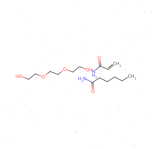 C=CC(N)=O.CCCCCC(N)=O.OCCOCCOCCO